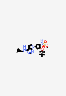 COS(=O)(=O)N[C@H]1C[C@@H](n2ccc3c(NCC4CC4)ncnc32)C[C@@H]1O[Si](C)(C)C(C)(C)C